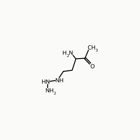 CC(=O)C(N)CCNNN